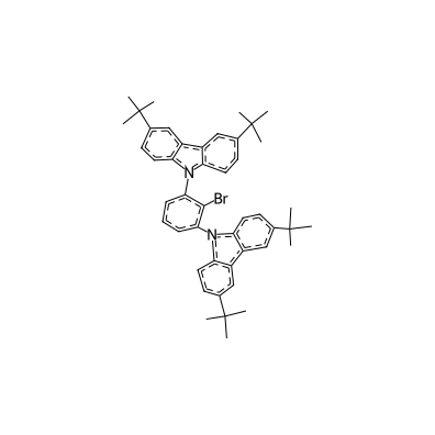 CC(C)(C)c1ccc2c(c1)c1cc(C(C)(C)C)ccc1n2-c1cccc(-n2c3ccc(C(C)(C)C)cc3c3cc(C(C)(C)C)ccc32)c1Br